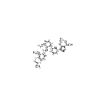 COc1c(C(=O)O)cnn1-c1cccc(-c2cccc(C)c2OCc2ccc3c(c2C)CCN(C)C3)n1